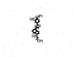 CC(C)Oc1ccc(-c2ncc(-c3cccc4c3CCC4NCCO)o2)cc1C#N